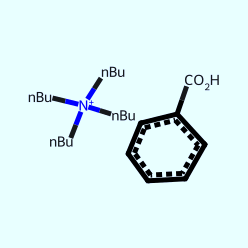 CCCC[N+](CCCC)(CCCC)CCCC.O=C(O)c1ccccc1